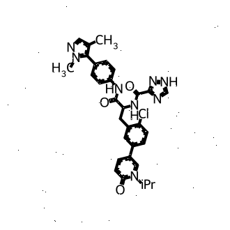 Cc1cnn(C)c1-c1ccc(NC(=O)C(Cc2cc(-c3ccc(=O)n(C(C)C)c3)ccc2Cl)NC(=O)c2nc[nH]n2)cc1